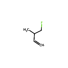 [CH]=CC(C)CF